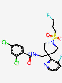 O=C(NCC1(c2ncccc2F)CCN(S(=O)(=O)CCCF)CC1)c1ccc(Cl)cc1Cl